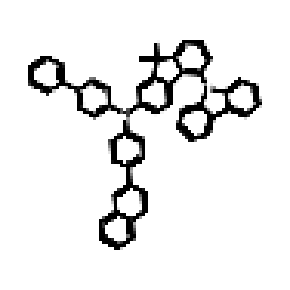 CC1(C)c2cc(N(c3ccc(-c4ccccc4)cc3)c3ccc(-c4ccc5ccccc5c4)cc3)ccc2-c2c(-n3c4ccccc4c4ccccc43)cccc21